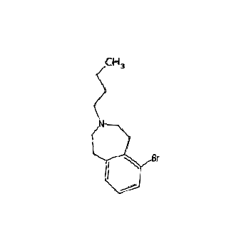 CCCCN1CCc2cccc(Br)c2CC1